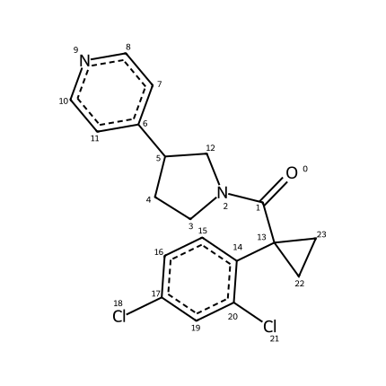 O=C(N1CCC(c2ccncc2)C1)C1(c2ccc(Cl)cc2Cl)CC1